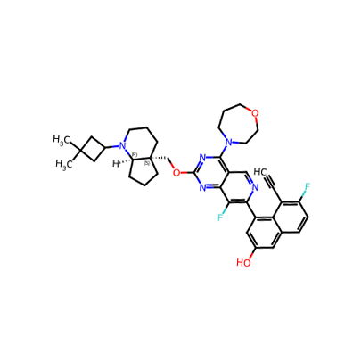 C#Cc1c(F)ccc2cc(O)cc(-c3ncc4c(N5CCCOCC5)nc(OC[C@]56CCC[C@H]5N(C5CC(C)(C)C5)CCC6)nc4c3F)c12